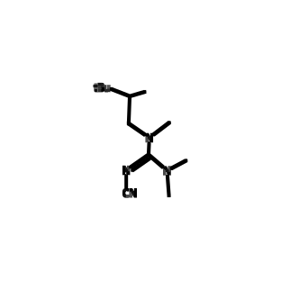 CC(CN(C)/C(=N/C#N)N(C)C)C(C)(C)C